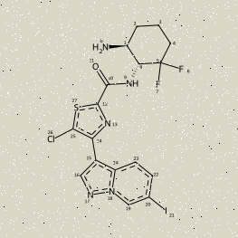 N[C@H]1CCCC(F)(F)[C@@H]1NC(=O)c1nc(-c2cnn3cc(I)ccc23)c(Cl)s1